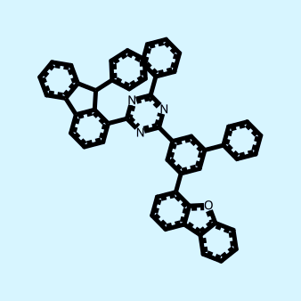 c1ccc(-c2cc(-c3nc(-c4ccccc4)nc(-c4cccc5c4C(c4ccccc4)c4ccccc4-5)n3)cc(-c3cccc4c3oc3ccccc34)c2)cc1